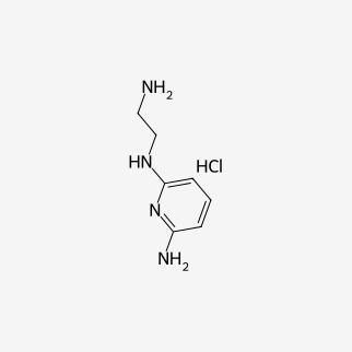 Cl.NCCNc1cccc(N)n1